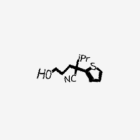 CC(C)C(C#N)(CCCO)c1cccs1